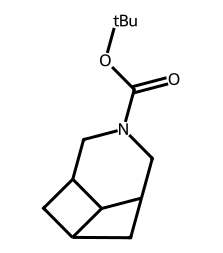 CC(C)(C)OC(=O)N1CC2CC3CC(C1)C32